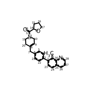 Cc1c(-c2ccc(CC3=CCN(C(=O)C4CCCO4)CC3)cc2)ccc2cccnc12